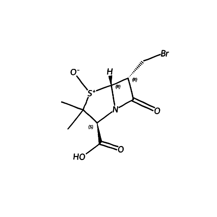 CC1(C)[C@H](C(=O)O)N2C(=O)[C@@H](CBr)[C@H]2[S+]1[O-]